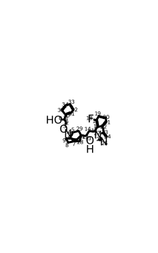 OC(CON1C2CC3CC1CC(C(O)CC1c4c(F)cccc4-c4cncn41)(C3)C2)c1ccccc1